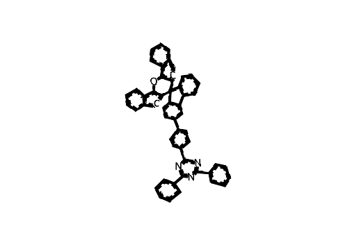 c1ccc(-c2nc(-c3ccccc3)nc(-c3ccc(-c4ccc5c(c4)-c4ccccc4C54c5ccc6ccccc6c5Oc5c4ccc4ccccc54)cc3)n2)cc1